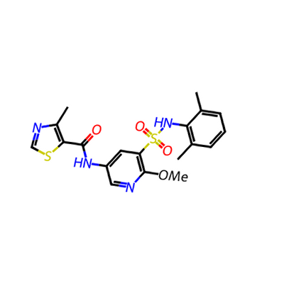 COc1ncc(NC(=O)c2scnc2C)cc1S(=O)(=O)Nc1c(C)cccc1C